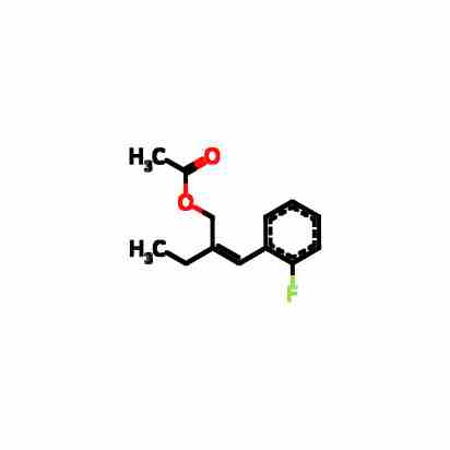 CCC(=Cc1ccccc1F)COC(C)=O